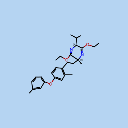 CCOC1=N[C@](C)(CCc2ccc(Oc3cccc(C)c3)cc2C)C(OCC)=N[C@H]1C(C)C